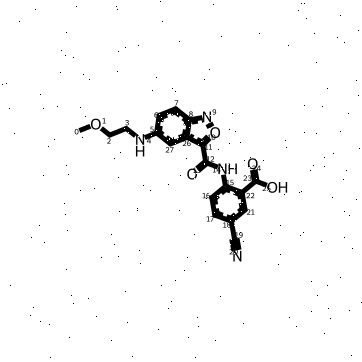 COCCNc1ccc2noc(C(=O)Nc3ccc(C#N)cc3C(=O)O)c2c1